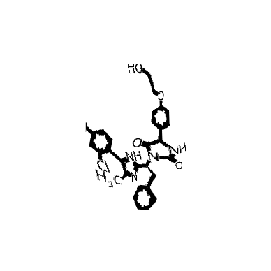 Cc1nc([C@H](Cc2ccccc2)N2C(=O)NC(c3ccc(OCCO)cc3)C2=O)[nH]c1-c1ccc(I)cc1Cl